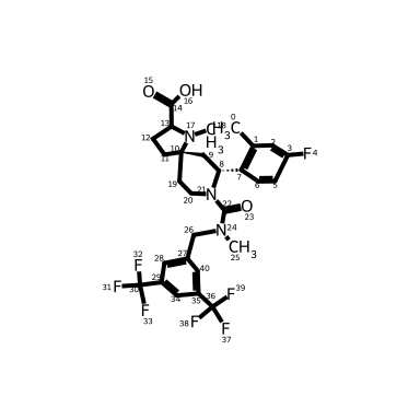 Cc1cc(F)ccc1[C@H]1C[C@]2(CCC(C(=O)O)N2C)CCN1C(=O)N(C)Cc1cc(C(F)(F)F)cc(C(F)(F)F)c1